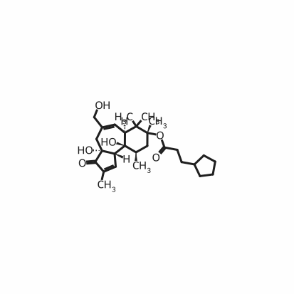 CC1=C[C@H]2[C@@]3(O)[C@H](C)C[C@@](C)(OC(=O)CCC4CCCC4)C(C)(C)[C@@H]3C=C(CO)C[C@]2(O)C1=O